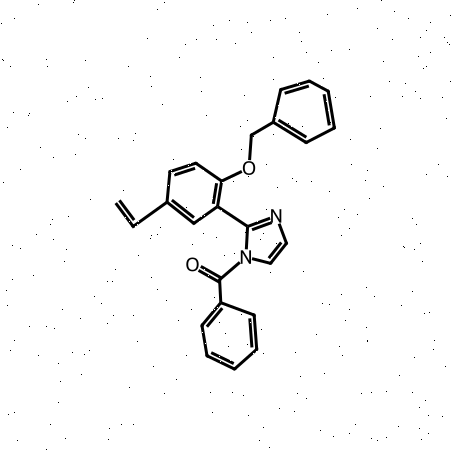 C=Cc1ccc(OCc2ccccc2)c(-c2nccn2C(=O)c2ccccc2)c1